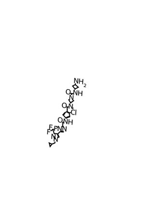 CN(C(=O)c1ccc(NC(=O)c2ncc(-c3cn(CC4CC4)nc3C(F)(F)F)n2C)cc1Cl)C1CN(C(=O)NC2CC(N)C2)C1